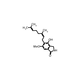 COc1cc2c(c(O)c1CC=C(C)CCC=C(C)C)CNC2=O